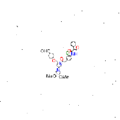 CO[C@H]1CN([C@H]2C[C@@H](CO[C@H]3CC[C@H](C=O)CC3)N(C(=O)Cc3ccc(NC(=O)c4coc5ccccc45)c(Cl)c3)C2)C[C@H]1OC